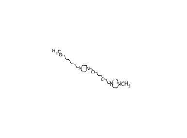 COCCCCCCN1CCN(COCCCOCCN2CCN(C)CC2)CC1